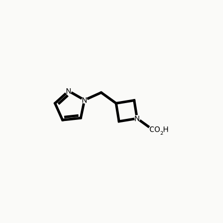 O=C(O)N1CC(Cn2cccn2)C1